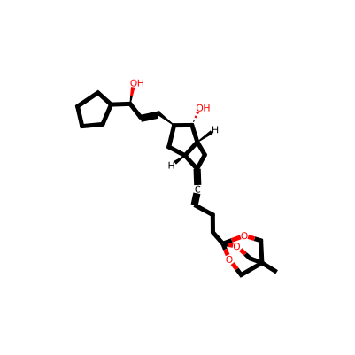 CC12COC(CCC=C=C3C[C@H]4[C@@H](O)[C@H](/C=C/[C@H](O)C5CCCC5)C[C@@H]34)(OC1)OC2